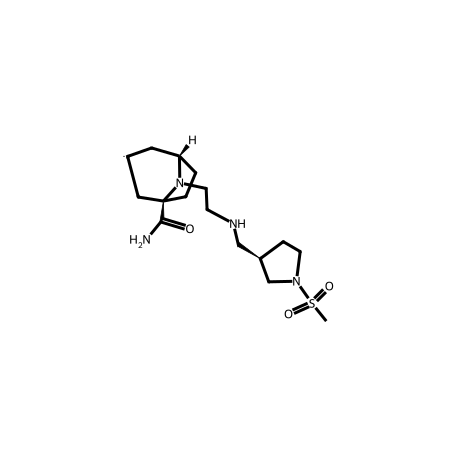 CS(=O)(=O)N1CC[C@H](CNCCN2[C@@H]3C[CH]C[C@@]2(C(N)=O)CC3)C1